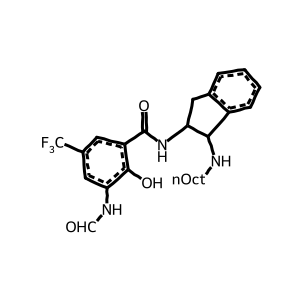 CCCCCCCCNC1c2ccccc2CC1NC(=O)c1cc(C(F)(F)F)cc(NC=O)c1O